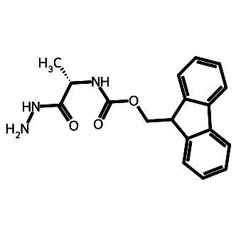 C[C@H](NC(=O)OCC1c2ccccc2-c2ccccc21)C(=O)NN